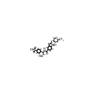 CCn1c(C[C@H]2CC[C@@H](C(F)(F)F)OC2)nc2cc(C(=O)NC(CO)c3ccc(S(=O)(=O)CC)cc3)ccc21